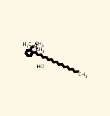 CCCCCCCCCCCCCCCCCCc1ccccc1C(C)N(C)C.Cl